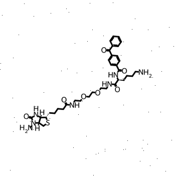 NCCCC[C@H](NC(=O)c1ccc(C(=O)c2ccccc2)cc1)C(=O)NCCOCCOCCNC(=O)CCCC[C@@H]1SC[C@H]2[C@@H]1NC(=O)N2N